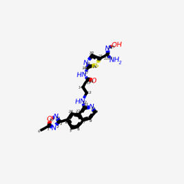 Cc1nc(-c2ccc3ccnc(NCCC(=O)Nc4ncc(/C(N)=N/O)s4)c3c2)no1